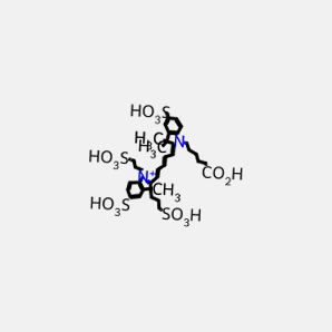 CC1(CCCS(=O)(=O)O)C(/C=C/C=C/C=C2/N(CCCCCC(=O)O)c3ccc(S(=O)(=O)O)cc3C2(C)C)=[N+](CCCS(=O)(=O)O)c2ccc(S(=O)(=O)O)cc21